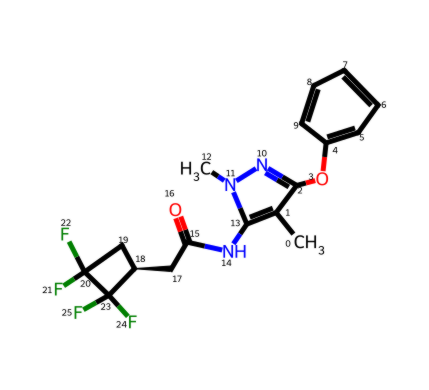 Cc1c(Oc2ccccc2)nn(C)c1NC(=O)C[C@@H]1CC(F)(F)C1(F)F